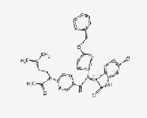 CC(=O)N(CCN(C)C)c1ccc(N/C(=C2\C(=O)Nc3cc(Cl)ccc32)c2ccc(OCc3ccccc3)cc2)cc1